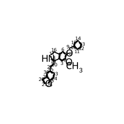 COc1cc2c(cc1OCc1ccccc1)CCNC2C=Cc1ccc2occc2c1